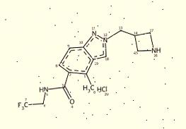 Cc1c(C(=O)NCC(F)(F)F)ccc2nn(CC3CNC3)cc12.Cl